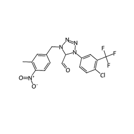 Cc1cc(CN2N=NN(c3ccc(Cl)c(C(F)(F)F)c3)C2C=O)ccc1[N+](=O)[O-]